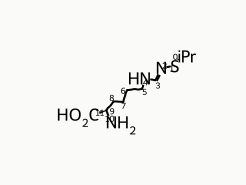 CC(C)SN=CNCCCC[C@@H](N)C(=O)O